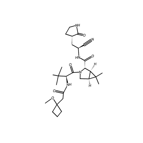 COC1(CC(=O)N[C@H](C(=O)N2C[C@H]3[C@@H]([C@H]2C(=O)N[C@H](C#N)C[C@@H]2CCNC2=O)C3(C)C)C(C)(C)C)CCC1